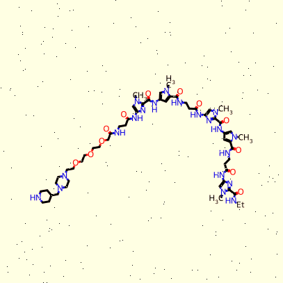 CCNC(=O)c1nc(NC(=O)CCNC(=O)c2cc(NC(=O)c3nc(NC(=O)CCNC(=O)c4cc(NC(=O)c5nc(NC(=O)CCNC(=O)COCCOCCOCCN6CCN(CC7CCNCC7)CC6)cn5C)cn4C)cn3C)cn2C)cn1C